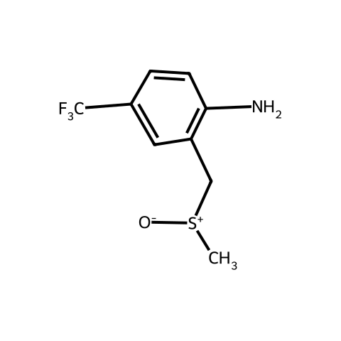 C[S+]([O-])Cc1cc(C(F)(F)F)ccc1N